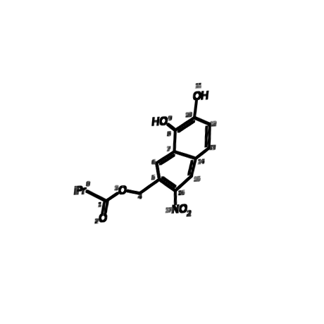 CC(C)C(=O)OCc1cc2c(O)c(O)ccc2cc1[N+](=O)[O-]